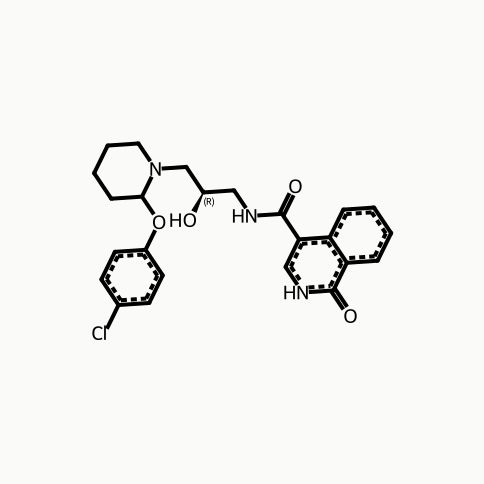 O=C(NC[C@@H](O)CN1CCCCC1Oc1ccc(Cl)cc1)c1c[nH]c(=O)c2ccccc12